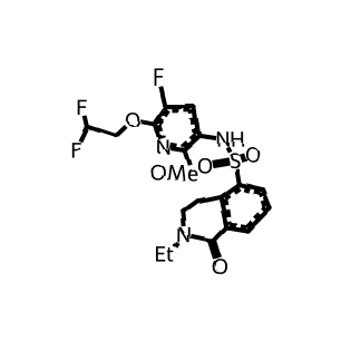 CCN1CCc2c(cccc2S(=O)(=O)Nc2cc(F)c(OCC(F)F)nc2OC)C1=O